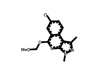 COCOc1nc2c(c(C)nn2C)c2ccc(Cl)cc12